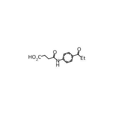 CCC(=O)c1ccc(NC(=O)CCC(=O)O)cc1